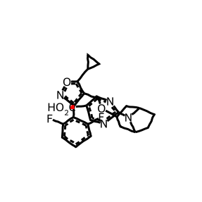 O=C(O)c1cnc(N2C3CCC2CC(OCc2c(-c4c(F)cccc4F)noc2C2CC2)C3)nc1